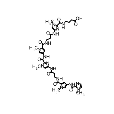 Cn1cc(NC(=O)c2nc(NC(=O)CCNC(=O)c3cc(NC(=O)c4nccn4C)cn3C)cn2C)cc1C(=O)NCCC(=O)Nc1cn(C)c(C(=O)NCCCC(=O)O)n1